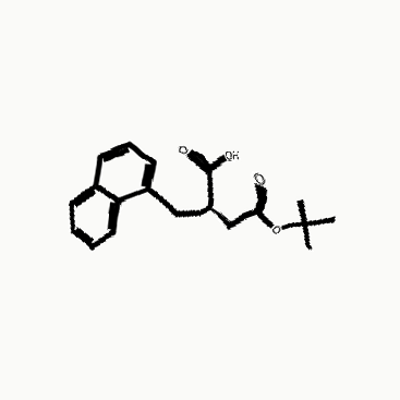 CC(C)(C)OC(=O)C[C@@H](Cc1cccc2ccccc12)C(=O)O